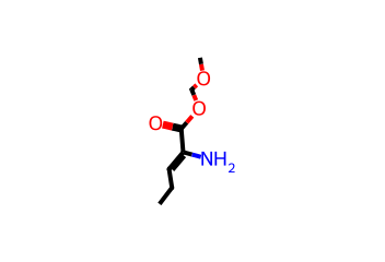 CC/C=C(\N)C(=O)OCOC